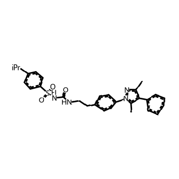 Cc1nn(-c2ccc(CCNC(=O)NS(=O)(=O)c3ccc(C(C)C)cc3)cc2)c(C)c1-c1ccccc1